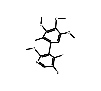 COc1cc(-c2c(OC)ncc(Br)c2Cl)c(C)c(OC)c1OC